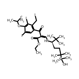 CCOC(=O)C(=CN[C@H](CCC(C)(C)[Si](C)(C)O)C(C)(C)C)C(=O)c1cc(I)c(OC(C)C)c(I)c1CI